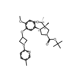 COc1ccc([C@@H]2CN(C(=O)OC(C)(C)C)C[C@@]2(C)[C@@H](C)O)cc1OC1CN(c2ccc(C)cn2)C1